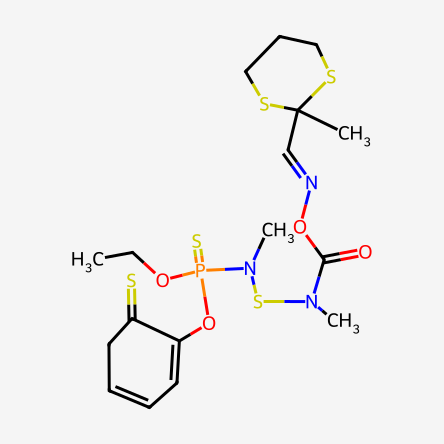 CCOP(=S)(OC1=CC=CCC1=S)N(C)SN(C)C(=O)ON=CC1(C)SCCCS1